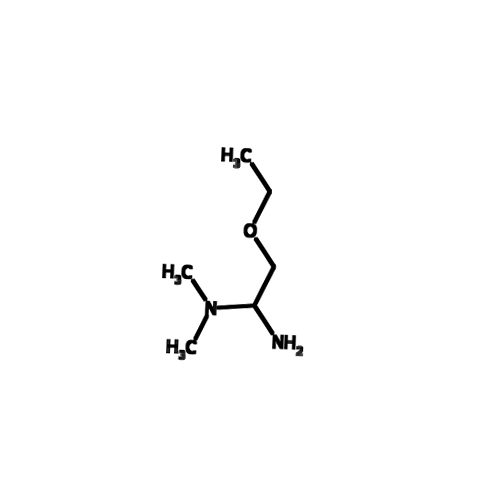 CCOCC(N)N(C)C